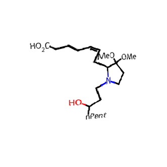 CCCCCC(O)CCN1CCC(OC)(OC)C1C/C=C\CCCC(=O)O